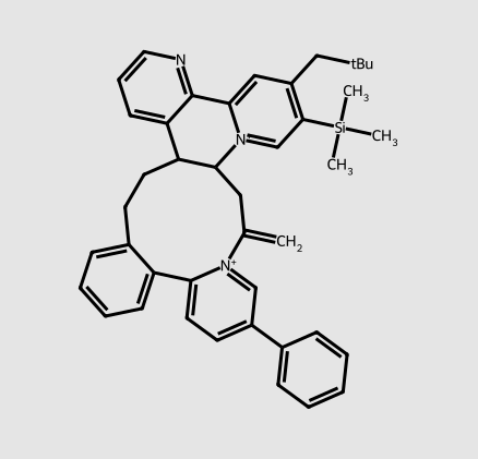 C=C1CC2C(CCc3ccccc3-c3ccc(-c4ccccc4)c[n+]31)c1cccnc1-c1cc(CC(C)(C)C)c([Si](C)(C)C)c[n+]12